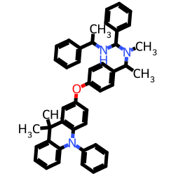 CC(NC(c1ccccc1)N(C)C(C)c1ccc(Oc2ccc3c(c2)C(C)(C)c2ccccc2N3c2ccccc2)cc1)c1ccccc1